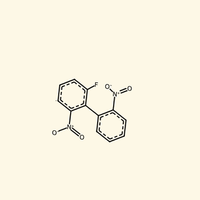 O=[N+]([O-])c1[c]ccc(F)c1-c1ccccc1[N+](=O)[O-]